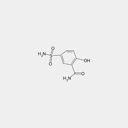 NC(=O)c1cc(S(N)(=O)=O)ccc1O